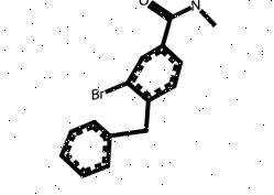 CN(C)C(=O)c1ccc(Cc2ccccc2)c(Br)c1